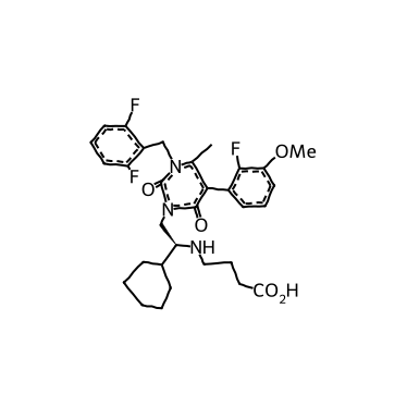 COc1cccc(-c2c(C)n(Cc3c(F)cccc3F)c(=O)n(C[C@@H](NCCCC(=O)O)C3CCCCC3)c2=O)c1F